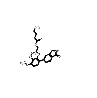 CCCCC(=O)OCCOc1c(-c2ccc3c(c2)CNC3=O)ccc(OC)c1OC